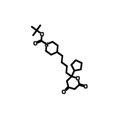 CC(C)(C)OC(=O)N1CCC(CCCCC2(C3CCCC3)CC(=O)CC(=O)O2)CC1